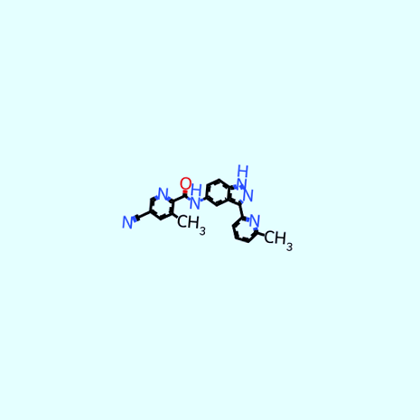 Cc1cccc(-c2n[nH]c3ccc(NC(=O)c4ncc(C#N)cc4C)cc23)n1